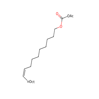 CCCCCCCC/C=C\CCCCCCCCOC(=O)OC(C)=O